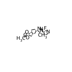 CC(=O)OC1=Cc2cc(-c3nnn(-c4cccnc4F)c3C)ccc2C1=O